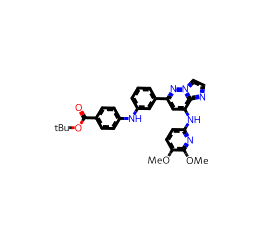 COc1ccc(Nc2cc(-c3cccc(Nc4ccc(C(=O)OC(C)(C)C)cc4)c3)nn3ccnc23)nc1OC